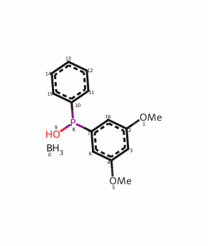 B.COc1cc(OC)cc(P(O)c2ccccc2)c1